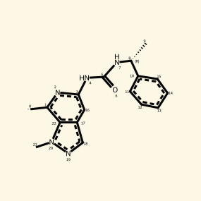 [CH2]c1nc(NC(=O)N[C@H](C)c2ccccc2)cc2cnn(C)c12